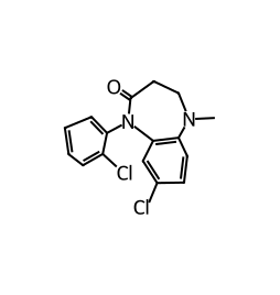 CN1CCC(=O)N(c2ccccc2Cl)c2cc(Cl)ccc21